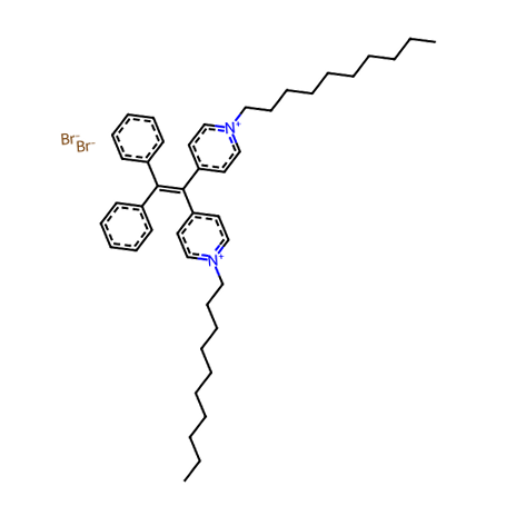 CCCCCCCCCC[n+]1ccc(C(=C(c2ccccc2)c2ccccc2)c2cc[n+](CCCCCCCCCC)cc2)cc1.[Br-].[Br-]